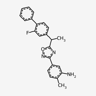 Cc1ccc(-c2noc(C(C)c3ccc(-c4ccccc4)c(F)c3)n2)cc1N